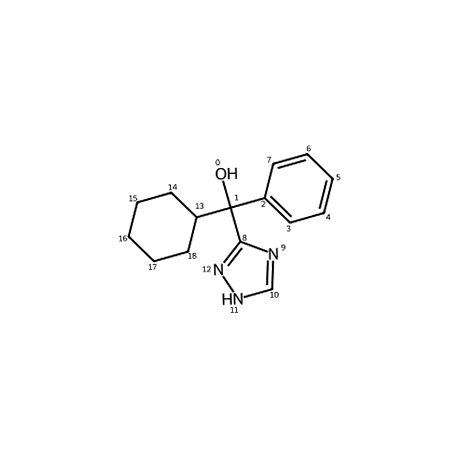 OC(c1ccccc1)(c1nc[nH]n1)C1CCCCC1